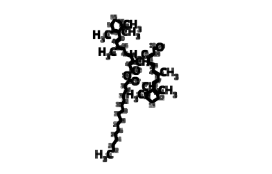 CC(C=CC=C(C)C=CC1=C(C)CCCC1(C)C)=CC=O.CCCCCCCCCCCCCCCC(=O)OC(=O)C=C(C)C=CC=C(C)C=CC1=C(C)CCCC1(C)C